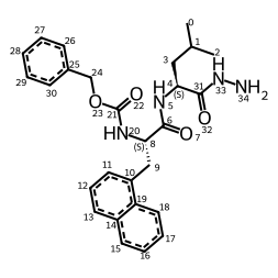 CC(C)C[C@H](NC(=O)[C@H](Cc1cccc2ccccc12)NC(=O)OCc1ccccc1)C(=O)NN